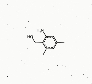 Cc1cc(C)c(CO)c(N)c1